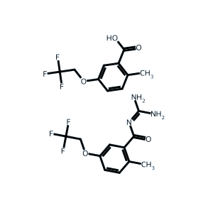 Cc1ccc(OCC(F)(F)F)cc1C(=O)N=C(N)N.Cc1ccc(OCC(F)(F)F)cc1C(=O)O